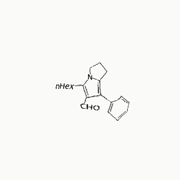 CCCCCCc1c(C=O)c(-c2ccccc2)c2n1CCC2